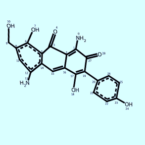 NC1=C2C(=O)c3c(O)c(CO)cc(N)c3C=C2C(O)=C(c2ccc(O)cc2)C1=O